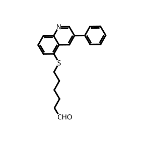 O=CCCCCCSc1cccc2ncc(-c3ccccc3)cc12